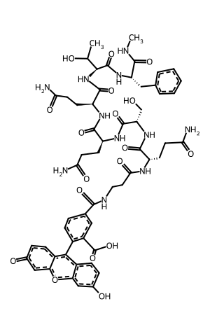 CNC(=O)[C@H](Cc1ccccc1)NC(=O)[C@@H](NC(=O)[C@H](CCC(N)=O)NC(=O)[C@H](CCC(N)=O)NC(=O)[C@H](CO)NC(=O)[C@H](CCC(N)=O)NC(=O)CCNC(=O)c1ccc(-c2c3ccc(=O)cc-3oc3cc(O)ccc23)c(C(=O)O)c1)C(C)O